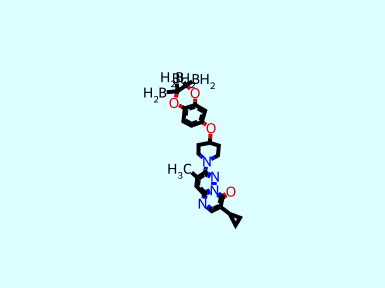 BC1(B)Oc2ccc(OC3CCN(c4nn5c(=O)c(C6CC6)cnc5cc4C)CC3)cc2OC1(B)B